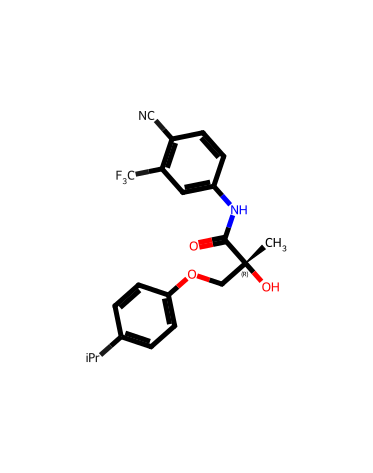 CC(C)c1ccc(OC[C@@](C)(O)C(=O)Nc2ccc(C#N)c(C(F)(F)F)c2)cc1